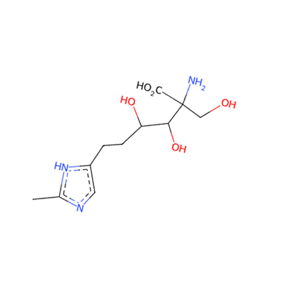 Cc1ncc(CCC(O)C(O)C(N)(CO)C(=O)O)[nH]1